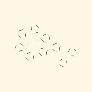 c1ccc(B2N(c3ccccc3)B(c3ccccc3)N(c3ccccc3)B(c3cccc(-c4cccc(-n5c6ccccc6c6ccccc65)c4)c3)N2c2ccccc2)cc1